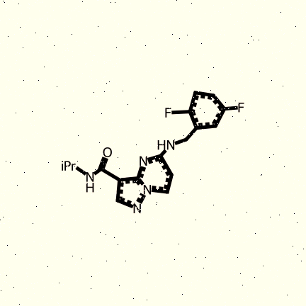 CC(C)NC(=O)c1cnn2ccc(NCc3cc(F)ccc3F)nc12